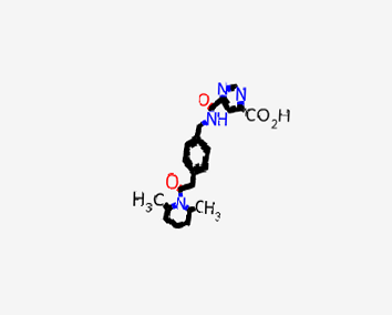 CC1CCCC(C)N1C(=O)Cc1ccc(CNC(=O)c2cc(C(=O)O)ncn2)cc1